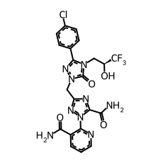 NC(=O)c1cccnc1-n1nc(Cn2nc(-c3ccc(Cl)cc3)n(C[C@H](O)C(F)(F)F)c2=O)nc1C(N)=O